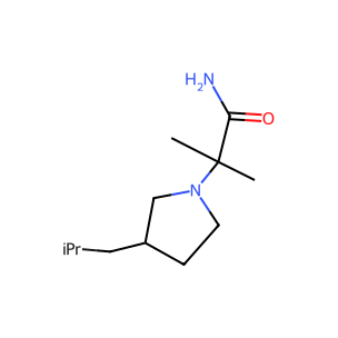 CC(C)CC1CCN(C(C)(C)C(N)=O)C1